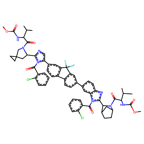 COC(=O)NC(C(=O)N1CC2(CC2)CC1c1ncc(-c2ccc3c(c2)C(F)(F)c2cc(-c4ccc5nc(C6C7CCC(C7)N6C(=O)C(NC(=O)OC)C(C)C)n(C(=O)c6ccccc6Cl)c5c4)ccc2-3)n1C(=O)c1ccccc1Cl)C(C)C